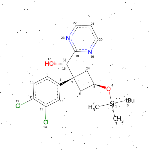 CC(C)(C)[Si](C)(C)O[C@H]1C[C@](c2ccc(Cl)c(Cl)c2)([C@H](O)c2ncccn2)C1